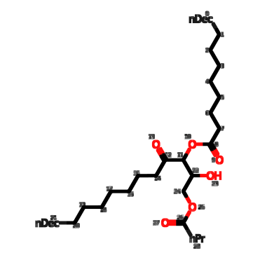 CCCCCCCCCCCCCCCCCC(=O)OC(C(=O)CCCCCCCCCCCCCCCCC)C(O)COC(=O)CCC